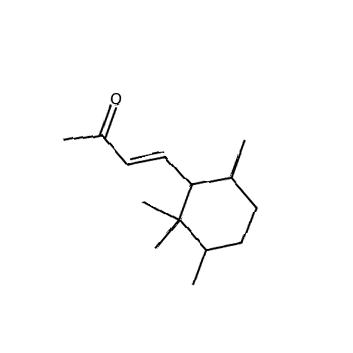 CC(=O)C=CC1C(C)CCC(C)C1(C)C